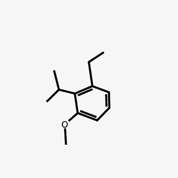 CCc1cccc(OC)c1C(C)C